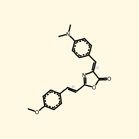 COc1ccc(/C=C/C2=NC(=C\c3ccc(N(C)C)cc3)/C(=O)O2)cc1